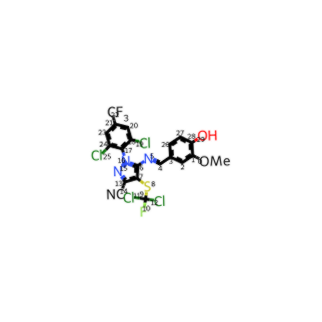 COc1cc(C=Nc2c(SC(F)(Cl)Cl)c(C#N)nn2-c2c(Cl)cc(C(F)(F)F)cc2Cl)ccc1O